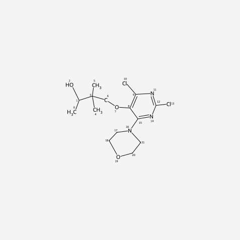 CC(O)C(C)(C)COc1c(Cl)nc(Cl)nc1N1CCOCC1